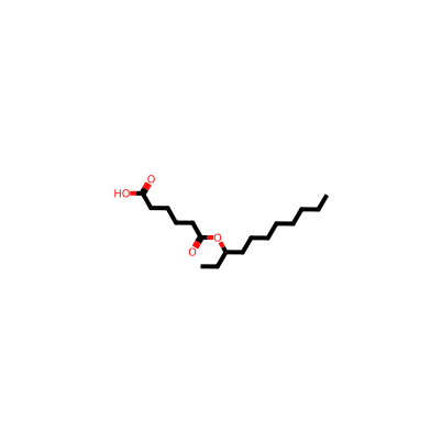 CCCCCCCCC(CC)OC(=O)CCCCC(=O)O